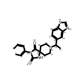 C/C=C\C(=C/C)N1C(=O)NC2(CCN(C(C)c3ccc4scnc4c3)CC2)C1=O